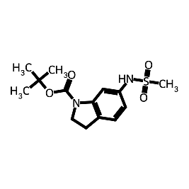 CC(C)(C)OC(=O)N1CCc2ccc(NS(C)(=O)=O)cc21